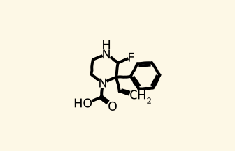 C=CC1(c2ccccc2)C(F)NCCN1C(=O)O